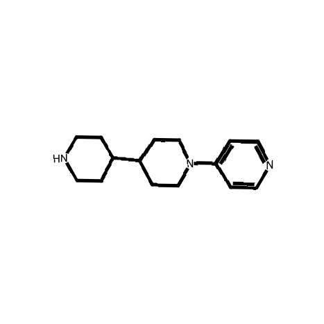 c1cc(N2CCC(C3CCNCC3)CC2)ccn1